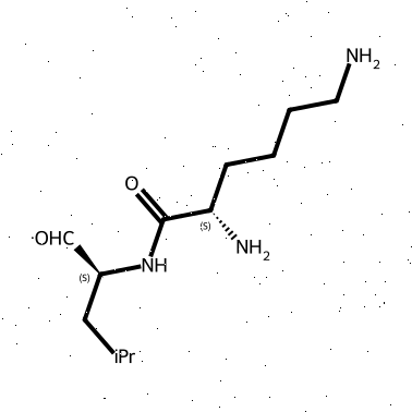 CC(C)C[C@@H]([C]=O)NC(=O)[C@@H](N)CCCCN